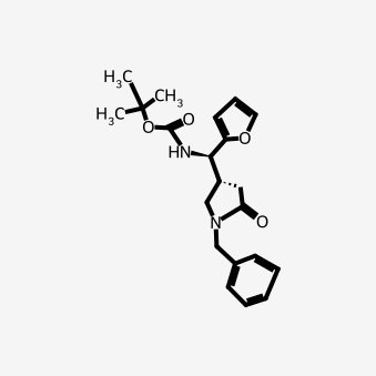 CC(C)(C)OC(=O)N[C@@H](c1ccco1)[C@@H]1CC(=O)N(Cc2ccccc2)C1